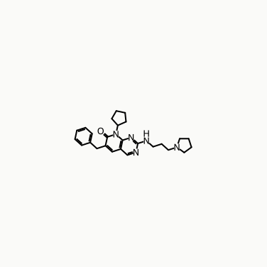 O=c1c(Cc2ccccc2)cc2cnc(NCCCN3CCCC3)nc2n1C1CCCC1